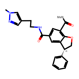 CNC(=O)c1cc(C(=O)NCCc2cnn(C)c2)cc2c1OC[C@@H]2c1ccccc1